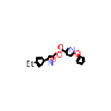 CCc1ccc(-c2cc(COC(=O)c3ccc(Oc4ccccc4)nc3)on2)cc1